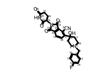 N#Cc1c(C2(O)CCN(Cc3ccc(F)cc3)CC2)ccc2c1C(=O)N(C1CCC(=O)NC1=O)C2=O